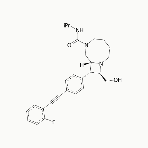 CC(C)NC(=O)N1CCCCN2[C@@H](CO)[C@H](c3ccc(C#Cc4ccccc4F)cc3)[C@@H]2C1